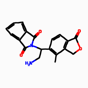 Cc1c(C(CN)N2C(=O)c3ccccc3C2=O)ccc2c1COC2=O